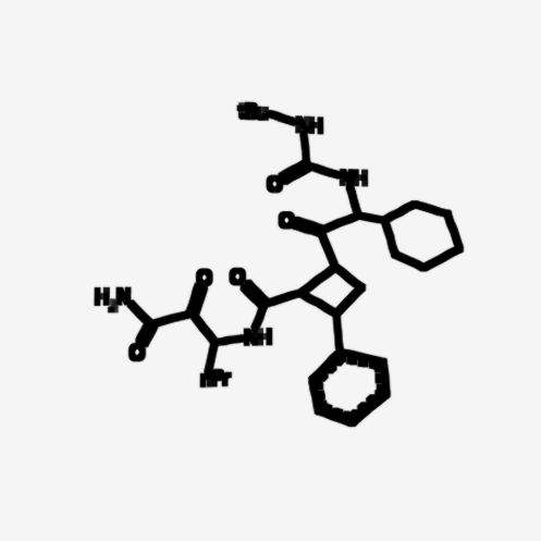 CCCC(NC(=O)C1C(C(=O)C(NC(=O)NC(C)(C)C)C2CCCCC2)CC1c1ccccc1)C(=O)C(N)=O